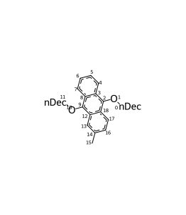 CCCCCCCCCCOc1c2ccccc2c(OCCCCCCCCCC)c2cc(C)ccc12